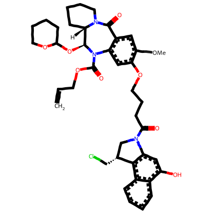 C=CCOC(=O)N1c2cc(OCCCC(=O)N3C[C@@H](CCl)c4c3cc(O)c3ccccc43)c(OC)cc2C(=O)N2CCCC[C@H]2[C@@H]1OC1CCCCO1